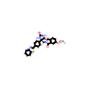 COc1ccc2c(c1)C(=O)N(C[C@@]1(c3ccc(-c4nc5ccccc5s4)cc3)NC(=O)NC1=O)C2